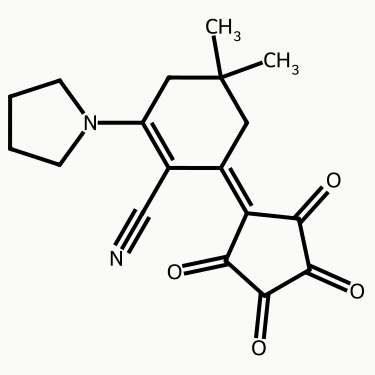 CC1(C)CC(=C2C(=O)C(=O)C(=O)C2=O)C(C#N)=C(N2CCCC2)C1